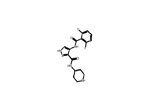 O=C(NC1CCNCC1)c1n[nH]cc1NC(=O)c1c(F)cccc1F